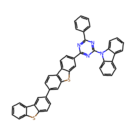 c1ccc(-c2nc(-c3ccc4c(c3)sc3cc(-c5ccc6sc7ccccc7c6c5)ccc34)nc(-n3c4ccccc4c4ccccc43)n2)cc1